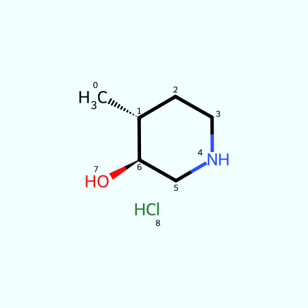 C[C@@H]1CCNC[C@H]1O.Cl